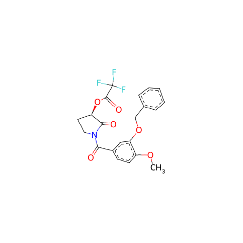 COc1ccc(C(=O)N2CC[C@@H](OC(=O)C(F)(F)F)C2=O)cc1OCc1ccccc1